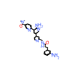 CN(C)C(=O)c1ccc(-c2cc(-c3ccnc(CNC(=O)CCc4cccc(N)c4)c3)cnc2N)nc1